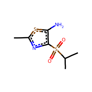 Cc1nc(S(=O)(=O)C(C)C)c(N)s1